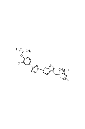 CC[C@@](C)(Cn1ccc2cc(-c3noc(-c4ccc(OC(C)C)c(Cl)c4)n3)ccc21)C(=O)O